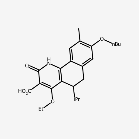 CCCCOc1cc2c(cc1C)-c1[nH]c(=O)c(C(=O)O)c(OCC)c1C(C(C)C)C2